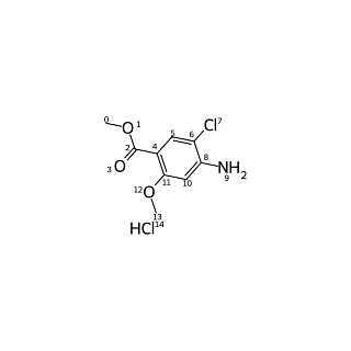 COC(=O)c1cc(Cl)c(N)cc1OC.Cl